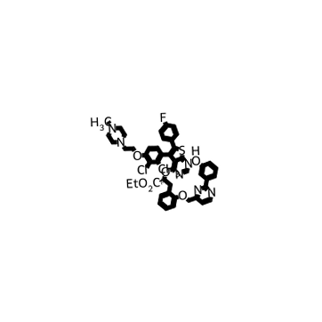 CCOC(=O)[C@@H](Cc1ccccc1OCc1ccnc(-c2cccc(O)c2)n1)Oc1ncnc2sc(-c3ccc(F)cc3)c(-c3ccc(OCCN4CCN(C)CC4)c(Cl)c3C)c12